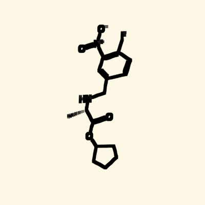 C[C@H](NCc1ccc(F)c([N+](=O)[O-])c1)C(=O)OC1CCCC1